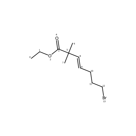 CCOC(=O)C(C)(C)C=CCCCBr